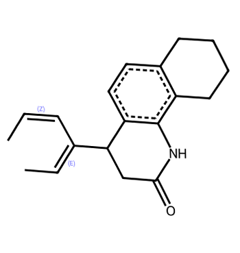 C/C=C\C(=C/C)C1CC(=O)Nc2c1ccc1c2CCCC1